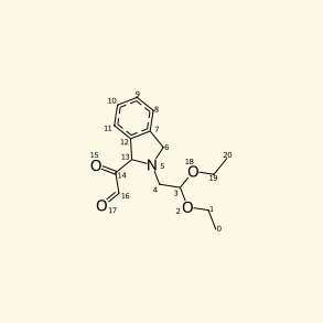 CCOC(CN1Cc2ccccc2C1C(=O)C=O)OCC